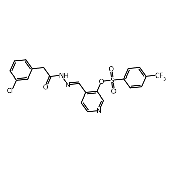 O=C(Cc1cccc(Cl)c1)N/N=C/c1ccncc1OS(=O)(=O)c1ccc(C(F)(F)F)cc1